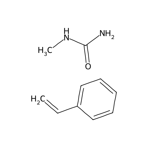 C=Cc1ccccc1.CNC(N)=O